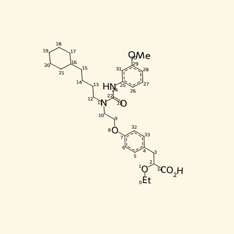 CCOC(Cc1ccc(OCCN(CCCCC2CCCCC2)C(=O)Nc2cccc(OC)c2)cc1)C(=O)O